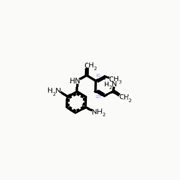 C=C(N)/C=C\C(=C/C)C(=C)Nc1cc(N)ccc1N